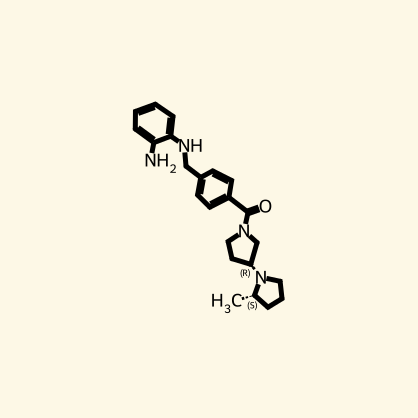 C[C@H]1CCCN1[C@@H]1CCN(C(=O)c2ccc(CNc3ccccc3N)cc2)C1